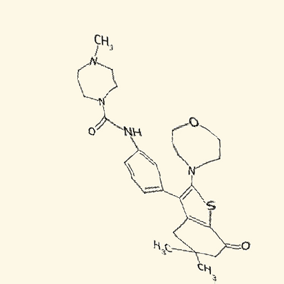 CN1CCN(C(=O)Nc2cccc(-c3c(N4CCOCC4)sc4c3CC(C)(C)CC4=O)c2)CC1